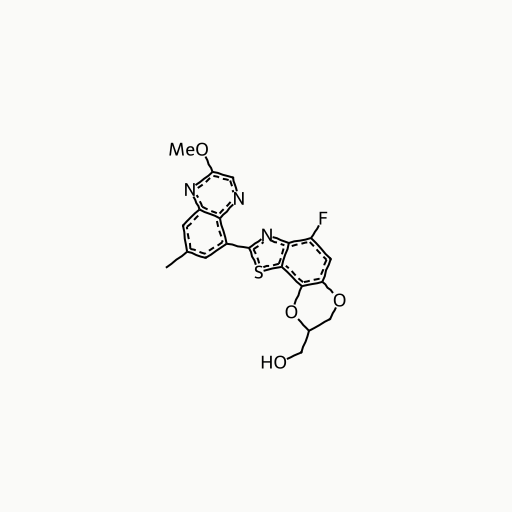 COc1cnc2c(-c3nc4c(F)cc5c(c4s3)OC(CO)CO5)cc(C)cc2n1